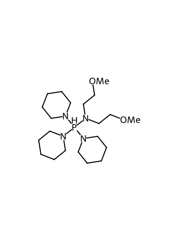 COCCN(CCOC)[PH](N1CCCCC1)(N1CCCCC1)N1CCCCC1